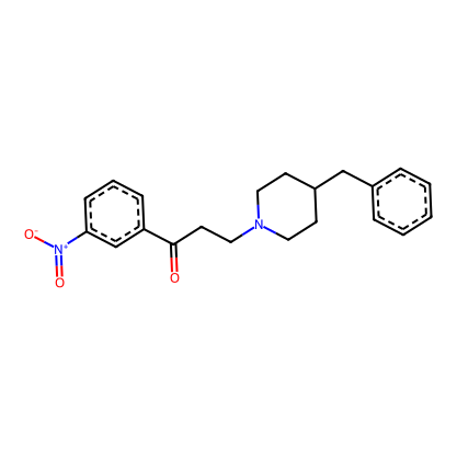 O=C(CCN1CCC(Cc2ccccc2)CC1)c1cccc([N+](=O)[O-])c1